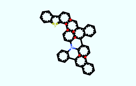 c1ccc(N(c2ccc(-c3cccc4c3sc3ccccc34)cc2)c2ccccc2-c2cc3ccccc3c3ccccc23)c(-c2ccc3ccccc3c2)c1